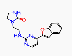 O=C1NCCN1CCNc1nccc(-c2cc3ccccc3o2)n1